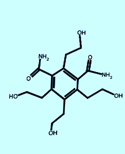 NC(=O)c1c(CCO)c(CCO)c(CCO)c(C(N)=O)c1CCO